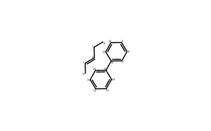 CC=CCC.c1ccc(-c2ccccc2)cc1